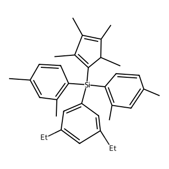 CCc1cc(CC)cc([Si](C2=C(C)C(C)=C(C)C2C)(c2ccc(C)cc2C)c2ccc(C)cc2C)c1